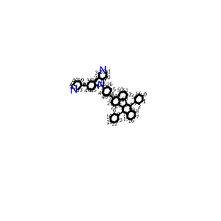 c1ccc(-c2c3c(c(-c4ccccc4)c4ccccc24)-c2ccc(-c4ccc(-n5c6ccncc6c6cc(-c7cccnc7)ccc65)cc4)c4cccc-3c24)cc1